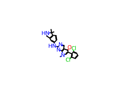 Cn1cc(-c2c(Cl)cccc2Cl)c(=O)c2cnc(Nc3ccc4c(c3)CNC4(C)C)nc21